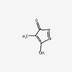 CC1=C(O)N=NC1=O